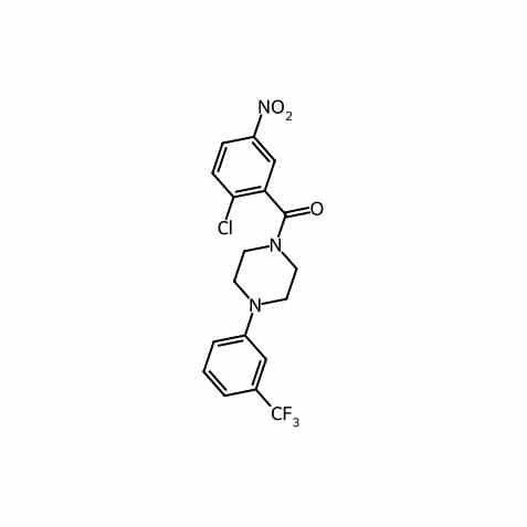 O=C(c1cc([N+](=O)[O-])ccc1Cl)N1CCN(c2cccc(C(F)(F)F)c2)CC1